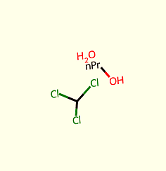 CCCO.ClC(Cl)Cl.O